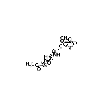 CCOC(=O)c1csc(NC(=O)c2csc(NC(=O)CCCOc3cc4c(cc3OC)C(=O)N3CCCC3C=N4)n2)n1